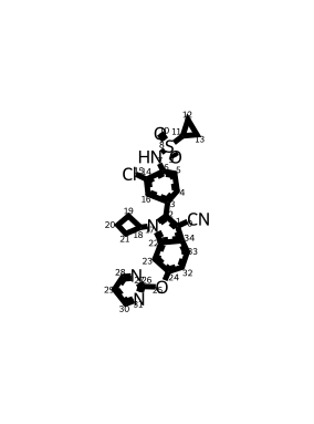 N#Cc1c(-c2ccc(NS(=O)(=O)C3CC3)c(Cl)c2)n(C2CCC2)c2cc(Oc3ncccn3)ccc12